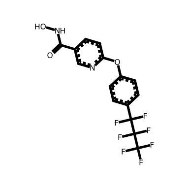 O=C(NO)c1ccc(Oc2ccc(C(F)(F)C(F)(F)C(F)(F)F)cc2)nc1